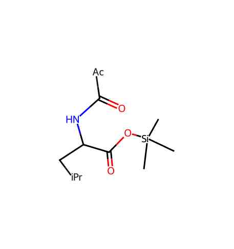 CC(=O)C(=O)NC(CC(C)C)C(=O)O[Si](C)(C)C